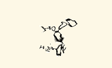 Nc1ccnn1-c1ccc(Oc2ccccc2)c(O)c1